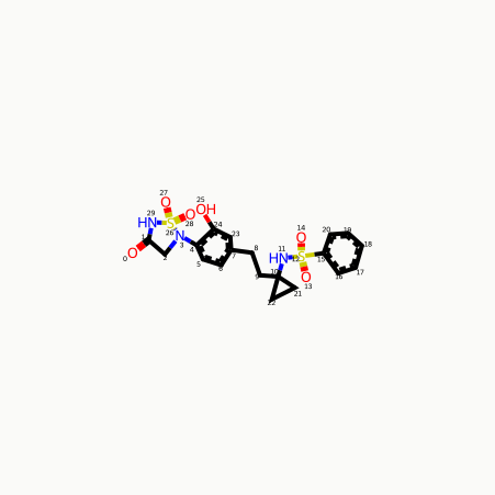 O=C1CN(c2ccc(CCC3(NS(=O)(=O)c4ccccc4)CC3)cc2O)S(=O)(=O)N1